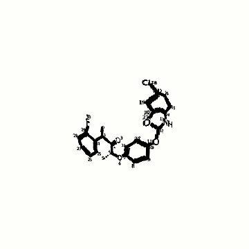 CC(C(=O)[C@@H](C)Oc1ccc(OC2Nc3ccc(Cl)cc3O2)cc1)c1ccccc1F